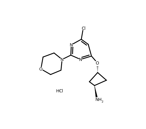 Cl.N[C@H]1C[C@H](Oc2cc(Cl)nc(N3CCOCC3)n2)C1